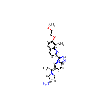 COCCOc1ccc2ccc(-c3nnc4ccc([C@H](C)N5CC[C@H](N)C5)cn34)nc2c1C